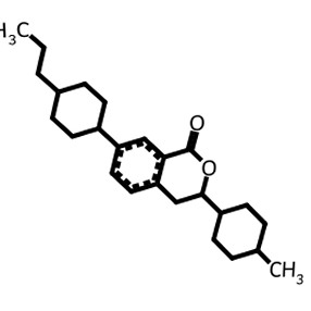 CCCC1CCC(c2ccc3c(c2)C(=O)OC(C2CCC(C)CC2)C3)CC1